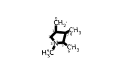 [CH2]C1CN(C)C(C)C1C